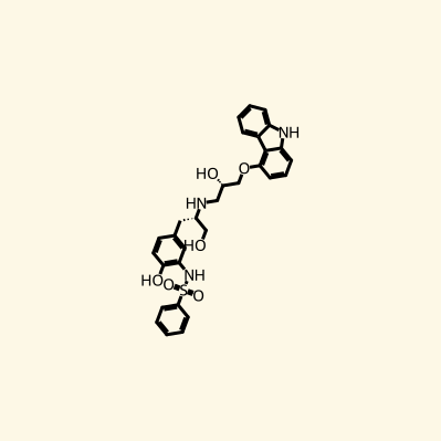 O=S(=O)(Nc1cc(C[C@@H](CO)NC[C@H](O)COc2cccc3[nH]c4ccccc4c23)ccc1O)c1ccccc1